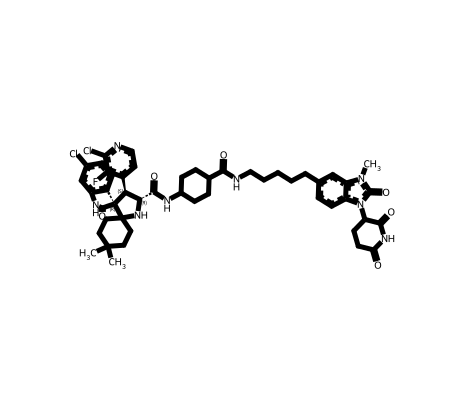 Cn1c(=O)n(C2CCC(=O)NC2=O)c2ccc(CCCCCNC(=O)C3CCC(NC(=O)[C@@H]4NC5(CCC(C)(C)CC5)[C@@]5(C(=O)Nc6cc(Cl)ccc65)[C@H]4c4ccnc(Cl)c4F)CC3)cc21